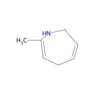 CC1=CCC=CCN1